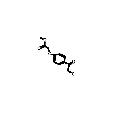 COC(=O)COc1ccc(C(=O)CCl)cc1